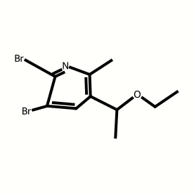 CCOC(C)c1cc(Br)c(Br)nc1C